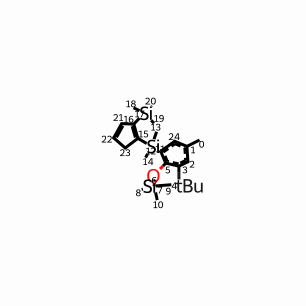 Cc1cc(C(C)(C)C)c(O[Si](C)(C)C)c([Si](C)(C)C2=C([Si](C)(C)C)C=CC2)c1